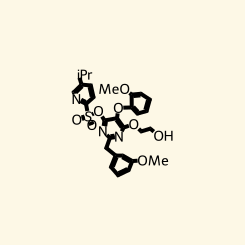 COc1cccc(Cc2nc(OCCO)c(Oc3ccccc3OC)c(OS(=O)(=O)c3ccc(C(C)C)cn3)n2)c1